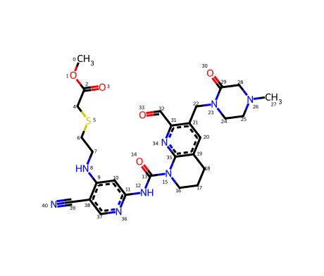 COC(=O)CSCCNc1cc(NC(=O)N2CCCc3cc(CN4CCN(C)CC4=O)c(C=O)nc32)ncc1C#N